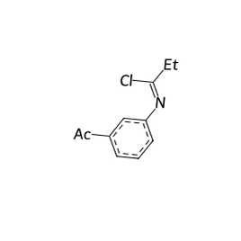 CC/C(Cl)=N/c1cccc(C(C)=O)c1